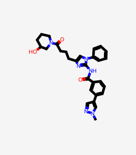 Cn1cc(-c2cccc(C(=O)Nc3nc(CCCC(=O)N4CCCC(O)C4)cn3-c3ccccc3)c2)cn1